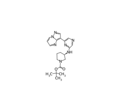 CC(C)(C)OC(=O)N1CCC[C@@H](Nc2cncc(-c3cnn4cccnc34)n2)C1